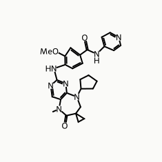 COc1cc(C(=O)Nc2ccncc2)ccc1Nc1ncc2c(n1)N(C1CCCC1)CC1(CC1)C(=O)N2C